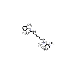 C/C=C(/C)C(/N=C(\C)NCCCCCN/C(C)=N/c1c(C)cccc1C)=C(C)C